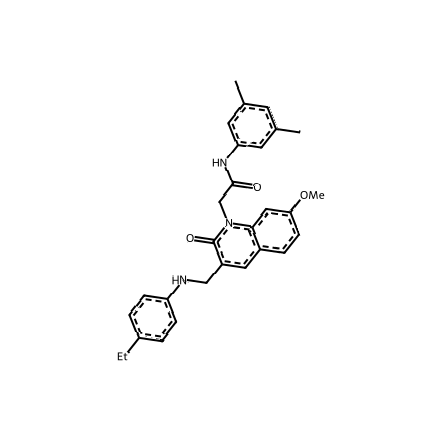 CCc1ccc(NCc2cc3ccc(OC)cc3n(CC(=O)Nc3cc(C)cc(C)c3)c2=O)cc1